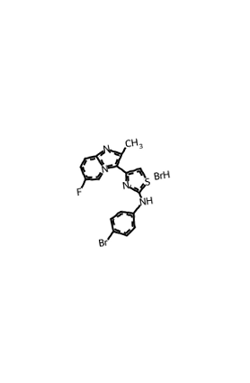 Br.Cc1nc2ccc(F)cn2c1-c1csc(Nc2ccc(Br)cc2)n1